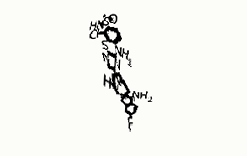 CS(=N)(=O)c1cccc(Sc2ncc(N3C4CC[C@H]3C[C@@]3(Cc5cc(F)ccc5[C@H]3N)C4)nc2N)c1Cl